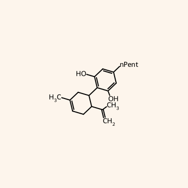 C=C(C)C1CC=C(C)CC1c1c(O)cc(CCCCC)cc1O